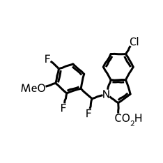 COc1c(F)ccc(C(F)n2c(C(=O)O)cc3cc(Cl)ccc32)c1F